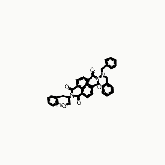 O=C1c2ccc3c4c(ccc(c24)C(=O)N1C(CO)Cc1ccccc1)C(=O)N(N(Cc1ccccc1)Cc1ccccc1)C3=O